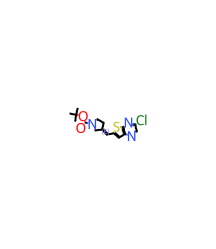 CC(C)(C)OC(=O)N1CC/C(=C\c2cc3ncc(Cl)nc3s2)C1